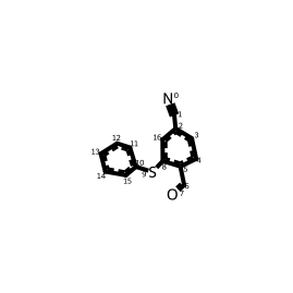 N#Cc1ccc(C=O)c(Sc2ccccc2)c1